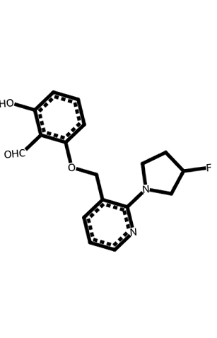 O=Cc1c(O)cccc1OCc1cccnc1N1CCC(F)C1